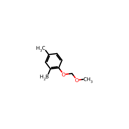 Bc1cc(C)ccc1OCOC